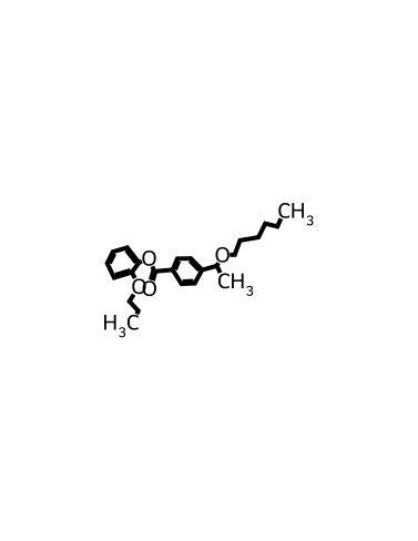 CCCCCCOC(C)c1ccc(C(=O)Oc2ccccc2OCCC)cc1